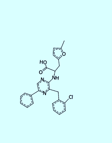 Cc1ccc(CC(Nc2ncc(-c3ccccc3)nc2Cc2ccccc2Cl)C(=O)O)o1